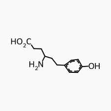 NC(CCC(=O)O)CCc1ccc(O)cc1